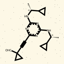 C[C@@H](Nc1nc(C#CC2(C=O)CC2)nc(N[C@H](C)C2CC2)n1)C1CC1